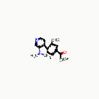 COC(=O)c1ccc(-c2ccncc2N(C)C)c(C=O)c1